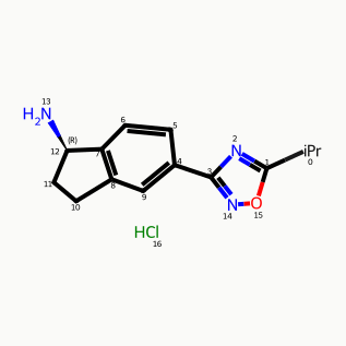 CC(C)c1nc(-c2ccc3c(c2)CC[C@H]3N)no1.Cl